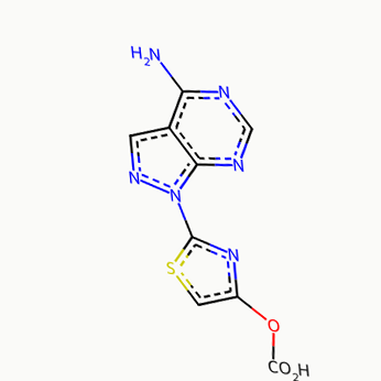 Nc1ncnc2c1cnn2-c1nc(OC(=O)O)cs1